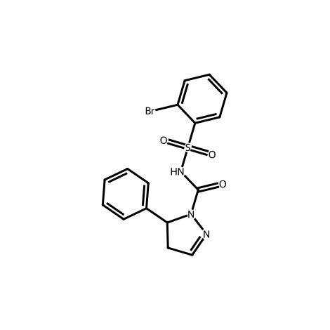 O=C(NS(=O)(=O)c1ccccc1Br)N1N=CCC1c1ccccc1